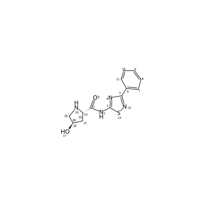 O=C(Nc1nc(-c2ccccc2)ns1)[C@@H]1C[C@@H](O)CN1